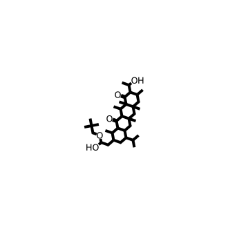 CC(C)C1CC(CC(O)OCC(C)(C)C)C(C)C2C(=O)C3C(C)C4(C)C(=O)C(C(C)O)C(C)CC4(C)CC3(C)CC12